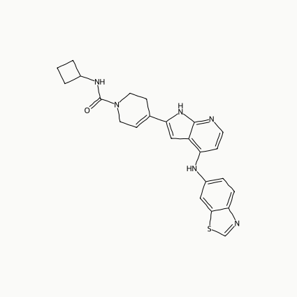 O=C(NC1CCC1)N1CC=C(c2cc3c(Nc4ccc5ncsc5c4)ccnc3[nH]2)CC1